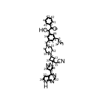 CN(C)Cc1cc(CN2CCN(C3CC(CC#N)(n4cc(-c5ncnc6[nH]ccc56)cn4)C3)CC2)cc(C(O)C(=O)c2ccccc2)c1